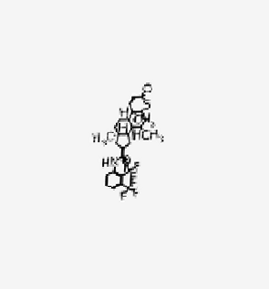 CC1CC2SC(=O)C=C[C@]2(C)[C@@H]2CC[C@]3(C)CC(C(=O)Nc4cccc(C(F)(F)F)c4C(F)(F)F)C[C@H]3[C@H]12